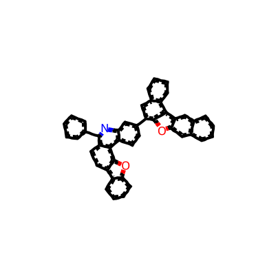 c1ccc(-c2nc3cc(-c4cc5ccccc5c5c4oc4cc6ccccc6cc45)ccc3c3c2ccc2c4ccccc4oc23)cc1